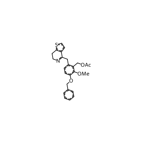 COc1c(OCc2ccccc2)ccc(CC2=NCCc3sccc32)c1COC(C)=O